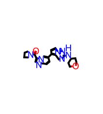 O=C(c1cnc2ccc(-c3ccn4nc(NC5CCOCC5)ncc34)cn12)N1CCCC1